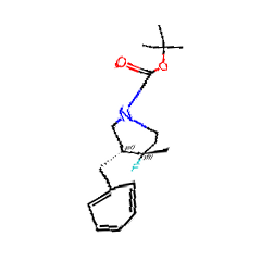 CC(C)(C)OC(=O)N1C[C@@H](Cc2ccccc2)[C@@](C)(F)C1